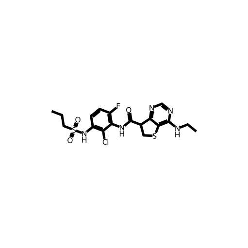 CCCS(=O)(=O)Nc1ccc(F)c(NC(=O)C2CSc3c(NCC)ncnc32)c1Cl